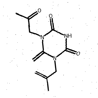 C=C(C)CN1C(=C)N(CC(C)=O)C(=O)NC1=O